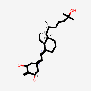 C=C1C(O)C/C(=C\C=C2/CCC[C@@]3(C)C2CC[C@@H]3[C@H](C)CCCC(C)(C)O)C[C@H]1O